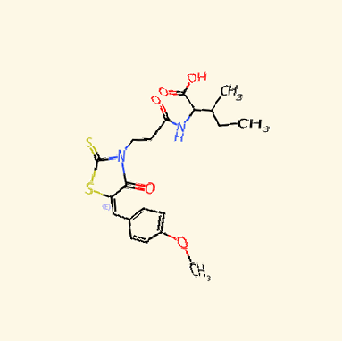 CCC(C)C(NC(=O)CCN1C(=O)/C(=C\c2ccc(OC)cc2)SC1=S)C(=O)O